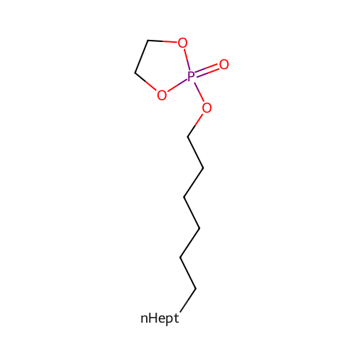 CCCCCCCCCCCCCOP1(=O)OCCO1